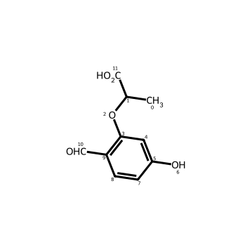 CC(Oc1cc(O)ccc1C=O)C(=O)O